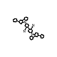 N#Cc1cc(-n2c3ccccc3c3cc(-c4ccccc4)ccc32)ccc1-c1ccc(-n2c3ccccc3c3cc(-c4ccccc4)ccc32)cc1C#N